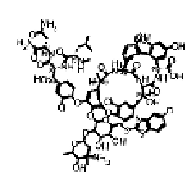 CN[C@@H](CC(C)C)C(=O)N[C@@H](C(=O)N[C@@H](CC(N)=O)C(N)=O)[C@H](O)c1ccc(Oc2cc3cc(c2OC2OC(CSc4nc5cc(Cl)ccc5s4)C(O)C(O)C2OC2CC(C)(N)C(O)C(C)O2)Oc2ccc(cc2Cl)[C@@H](O)C2NC(=O)[C@H](NC(=O)[C@@H]3C)c3ccc(O)c(c3)-c3c(O)cc(O)cc3[C@H](C(=O)O)NC2=O)c(Cl)c1